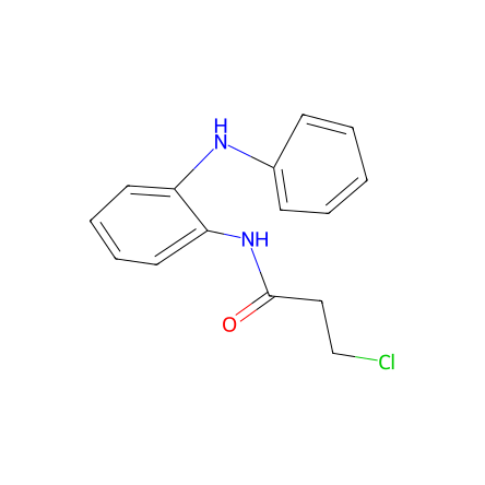 O=C(CCCl)Nc1ccccc1Nc1ccccc1